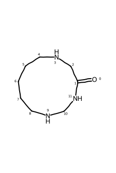 O=C1CNCCCCCNCN1